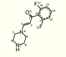 O=C(C=CN1CCNCC1)c1c(F)cccc1F